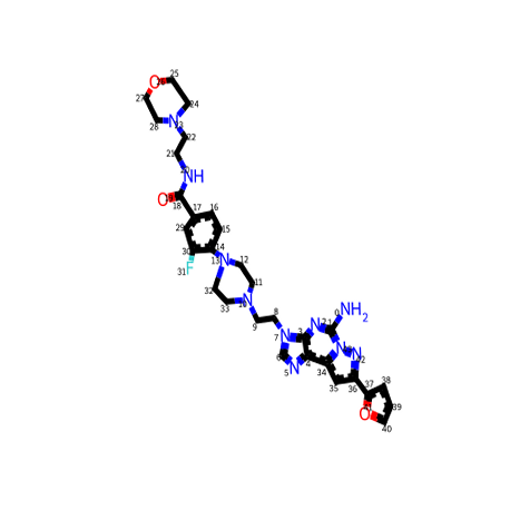 Nc1nc2c(ncn2CCN2CCN(c3ccc(C(=O)NCCN4CCOCC4)cc3F)CC2)c2cc(-c3ccco3)nn12